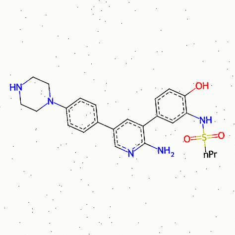 CCCS(=O)(=O)Nc1cc(-c2cc(-c3ccc(N4CCNCC4)cc3)cnc2N)ccc1O